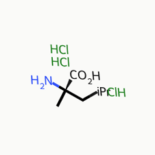 CC(C)C[C@](C)(N)C(=O)O.Cl.Cl.Cl